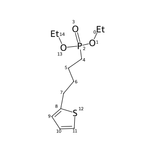 CCOP(=O)(CCCCc1cccs1)OCC